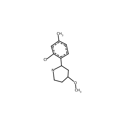 COC1CC[N]C(c2ccc(C)cc2Cl)C1